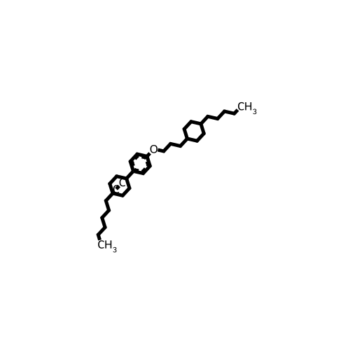 CCCCCCC12CCC(c3ccc(OCCCC4CCC(CCCCC)CC4)cc3)(CC1)CC2